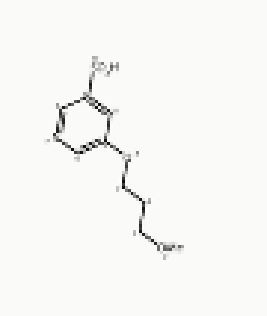 COCCCOc1cncc(S(=O)(=O)O)c1